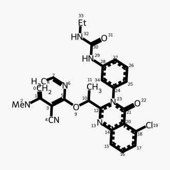 C=C(NC)/C(C#N)=C(\N=C/C)OC(C)c1nc2cccc(Cl)c2c(=O)n1-c1cccc(NC(=O)NCC)c1